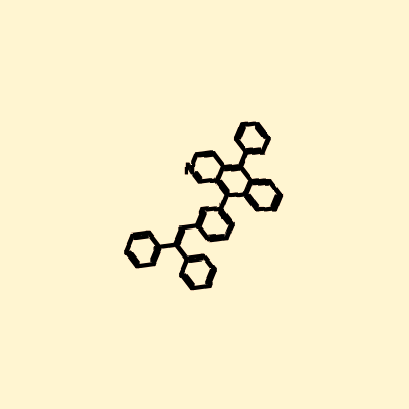 C(=C(c1ccccc1)c1ccccc1)c1cccc(-c2c3ccccc3c(-c3ccccc3)c3ccncc23)c1